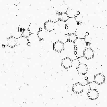 Cc1[nH]n(-c2ccccc2)c(=O)c1C(=O)C(C)C.Cc1[nH]n(-c2ccccc2)c(=O)c1C(=O)C(C)C.Cc1[nH]n(-c2ccccc2)c(=O)c1C(=O)C(C)C.O=P(c1ccccc1)(c1ccccc1)c1ccccc1.O=P(c1ccccc1)(c1ccccc1)c1ccccc1.[Er]